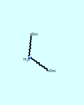 CCCCCCCCCCCCCCCCCCCCCCCCN(C)CCCCCCCCCCCCCCCCCCCCCCCC